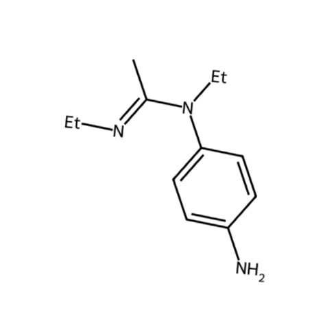 CCN=C(C)N(CC)c1ccc(N)cc1